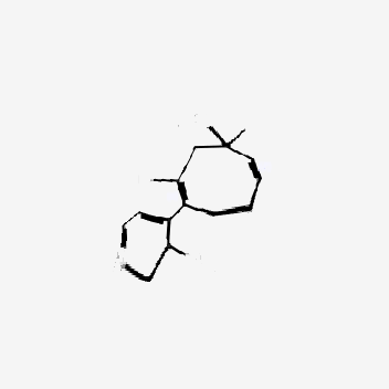 CC1(C)/C=C\CC/C(C2=CC=NCC2N)=C(/O)C1